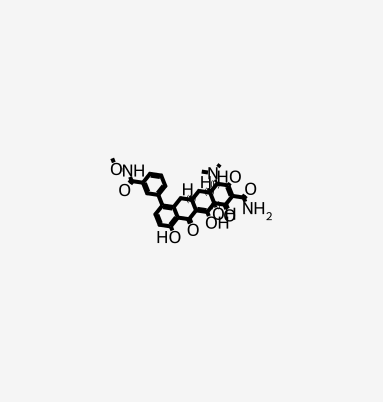 CONC(=O)c1cccc(-c2ccc(O)c3c2C[C@@H]2C[C@@H]4[C@@H](N(C)C)C(O)=C(C(N)=O)C(=O)[C@]4(O)C(O)=C2C3=O)c1